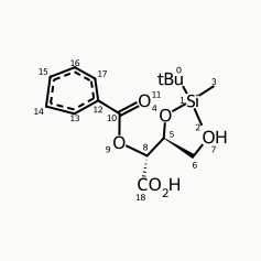 CC(C)(C)[Si](C)(C)O[C@@H](CO)[C@@H](OC(=O)c1ccccc1)C(=O)O